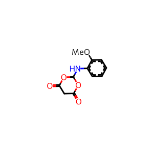 COc1ccccc1NC1OC(=O)CC(=O)O1